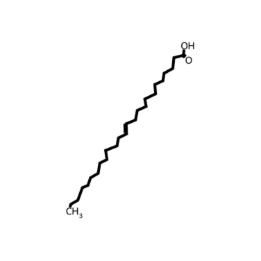 CCCCCCCCCCCCC=CCCCCCCCCCCC(=O)O